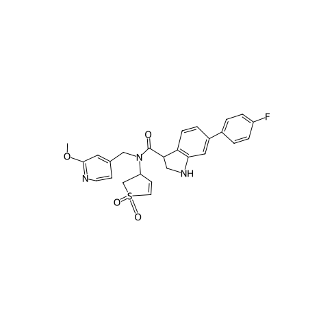 COc1cc(CN(C(=O)C2CNc3cc(-c4ccc(F)cc4)ccc32)C2C=CS(=O)(=O)C2)ccn1